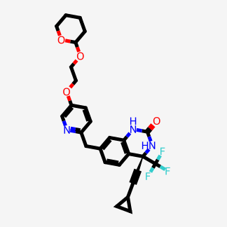 O=C1Nc2cc(Cc3ccc(OCCOC4CCCCO4)cn3)ccc2[C@@](C#CC2CC2)(C(F)(F)F)N1